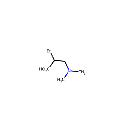 CC[C](CN(C)C)C(=O)O